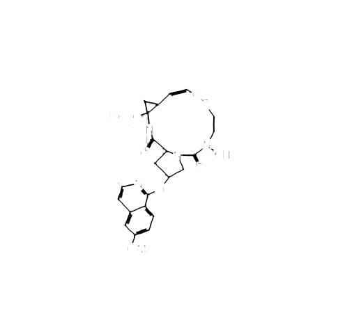 COc1ccc2c(OC3CC4C(=O)NC5(C(=O)O)CC5/C=C\CCCCN(C)C(=O)N4C3)nccc2c1